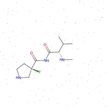 CN[C@H](C(=O)NC(=O)[C@@]1(F)CCNC1)C(C)C